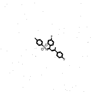 C/C(=C\C(=NS(=O)(=O)c1ccc(C)cc1)c1ccc(F)cc1)c1ccc(F)cc1